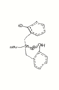 CCC[CH2][Sn]([CH2]CCC)([CH2]c1ccccc1O)[CH2]c1ccccc1O